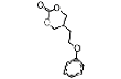 O=C1OCC(CCOc2ccccc2)CO1